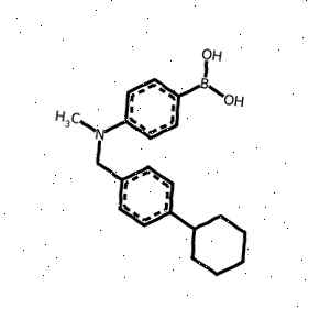 CN(Cc1ccc(C2CCCCC2)cc1)c1ccc(B(O)O)cc1